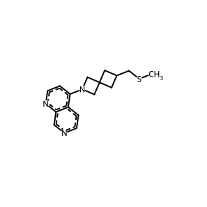 CSCC1CC2(C1)CN(c1ccnc3cnccc13)C2